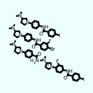 CN(C)C1CCN(c2ccc(C(N)=O)cc2)C1.CN(C)C1CCN(c2ccc(NC(=O)c3ccc(Br)c(F)c3)cc2)C1.CN(C)C1CCN(c2ccc(NC(=O)c3ccc(I)cc3)cc2)C1.CN(C)[C@@H]1CCN(c2ccc(NC(=O)c3ccc(I)cc3)cc2F)C1